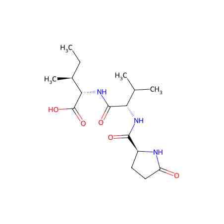 CC[C@H](C)[C@H](NC(=O)[C@@H](NC(=O)[C@@H]1CCC(=O)N1)C(C)C)C(=O)O